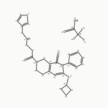 O=C(CCNCc1ccsc1)N1CCc2nc(SC3CCC3)n(-c3ccccc3)c(=O)c2C1.O=C(O)C(F)(F)F